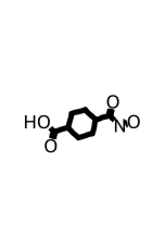 O=NC(=O)C1CCC(C(=O)O)CC1